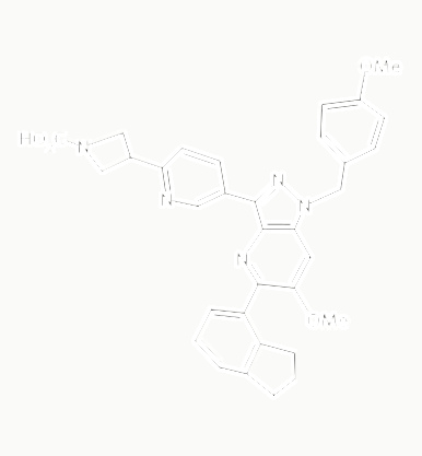 COc1ccc(Cn2nc(-c3ccc(C4CN(C(=O)O)C4)nc3)c3nc(-c4cccc5c4CCC5)c(OC)cc32)cc1